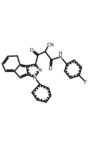 N#CC(C(=O)Nc1ccc(F)cc1)C(=O)c1nn(-c2ccccc2)c2c1=C1CC=CC=C1C=2